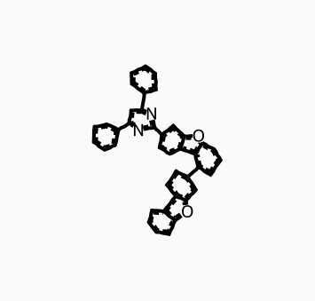 c1ccc(-c2cc(-c3ccccc3)nc(-c3ccc4c(c3)oc3cccc(-c5ccc6c(c5)oc5ccccc56)c34)n2)cc1